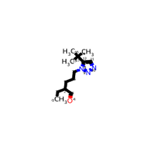 CCC(C=O)CCCn1nncc1C(C)(C)C